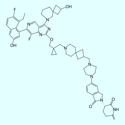 C=C1CC[C@H](N2Cc3cc(N4CCN(CC5CC6(CCN(CC7(COc8nc(N9CCCC%10(CC(O)C%10)C9)c9cnc(-c%10cc(O)cc%11ccc(F)c(CC)c%10%11)c(F)c9n8)CC7)CC6)C5)CC4)ccc3C2=O)C(=O)N1